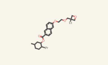 CCC1(COCCOc2ccc3cc(C(=O)OC4CC(C)CCC4C(C)C)ccc3c2)COC1